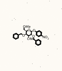 COC[C@H]1O[C@@H](Oc2ccc([N+](=O)[O-])cc2)[C@H](OCc2ccccc2)[C@@H](OC)[C@H]1OCc1ccccc1